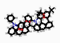 CC(C)(C)c1cc(-c2cccc3cccc(-c4ccccc4N(c4cccc(-c5ccc6c7ccccc7n(-c7ccccc7)c6c5)c4)c4ccccc4-c4cccc5c4ccc4ccccc45)c23)cc(C(C)(C)C)c1